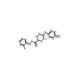 Cc1ccccc1OCC(=O)N1CCN(Cc2ccc(Cl)cc2)CC1